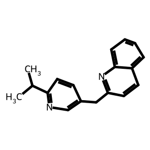 CC(C)c1ccc(Cc2ccc3ccccc3n2)cn1